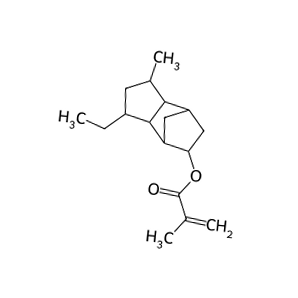 C=C(C)C(=O)OC1CC2CC1C1C(CC)CC(C)C21